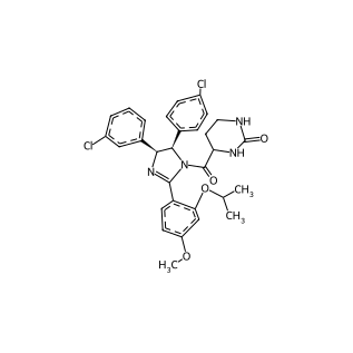 COc1ccc(C2=N[C@@H](c3cccc(Cl)c3)[C@@H](c3ccc(Cl)cc3)N2C(=O)C2CCNC(=O)N2)c(OC(C)C)c1